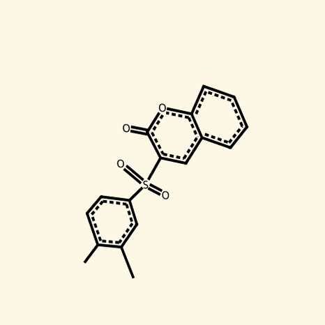 Cc1ccc(S(=O)(=O)c2cc3ccccc3oc2=O)cc1C